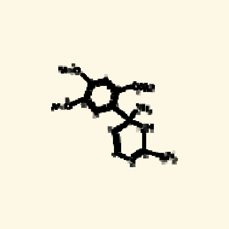 COc1cc(OC)c(C2(N)C=CN=C(N)N2)cc1OC